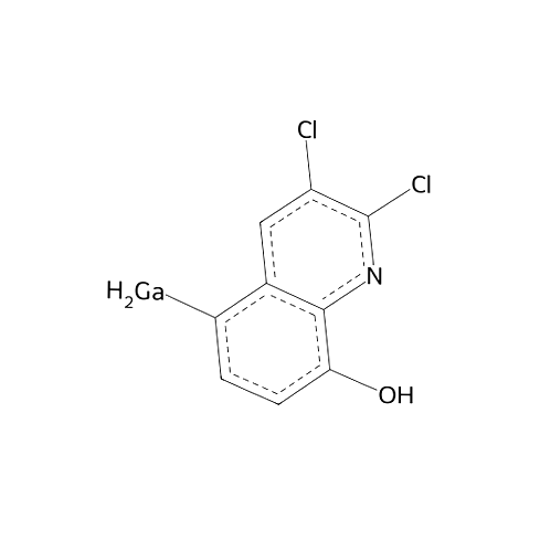 Oc1cc[c]([GaH2])c2cc(Cl)c(Cl)nc12